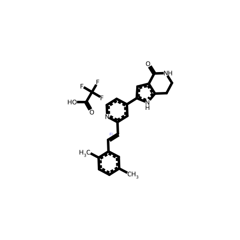 Cc1ccc(C)c(/C=C/c2cc(-c3cc4c([nH]3)CCNC4=O)ccn2)c1.O=C(O)C(F)(F)F